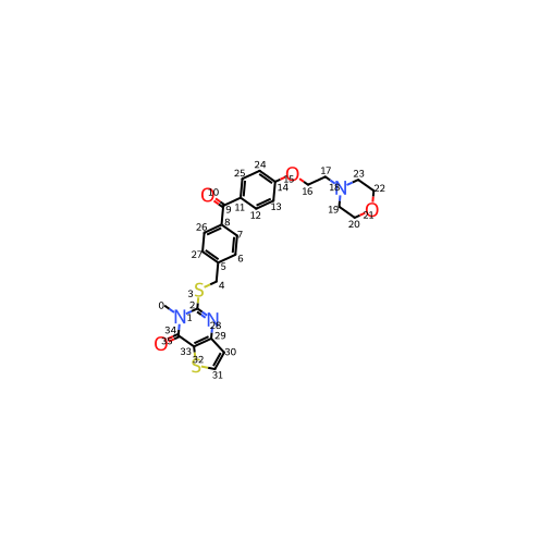 Cn1c(SCc2ccc(C(=O)c3ccc(OCCN4CCOCC4)cc3)cc2)nc2ccsc2c1=O